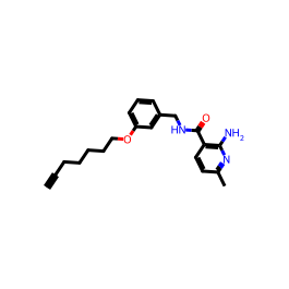 C#CCCCCCOc1cccc(CNC(=O)c2ccc(C)nc2N)c1